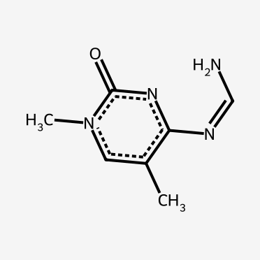 Cc1cn(C)c(=O)nc1/N=C\N